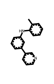 Cc1ccccc1Nc1cccc(-c2cccnc2)c1